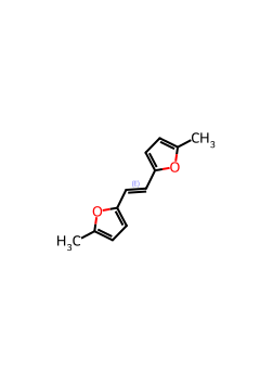 Cc1ccc(/C=C/c2ccc(C)o2)o1